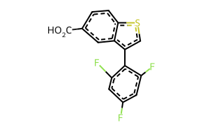 O=C(O)c1ccc2scc(-c3c(F)cc(F)cc3F)c2c1